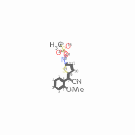 COc1ccccc1/C(C#N)=C1C=C/C(=N\OS(C)(=O)=O)S/1